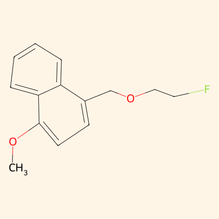 COc1ccc(COCCF)c2ccccc12